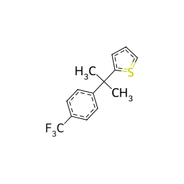 CC(C)(c1ccc(C(F)(F)F)cc1)c1cccs1